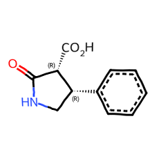 O=C(O)[C@H]1C(=O)NC[C@H]1c1ccccc1